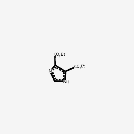 CCOC(=O)c1n[c][nH]c1C(=O)OCC